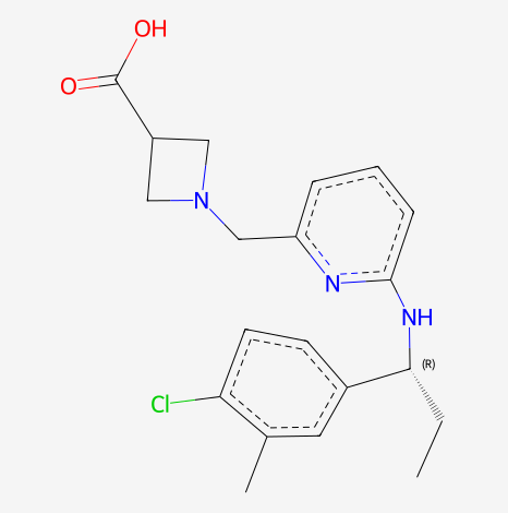 CC[C@@H](Nc1cccc(CN2CC(C(=O)O)C2)n1)c1ccc(Cl)c(C)c1